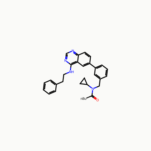 CCCCC(=O)N(Cc1cccc(-c2ccc3ncnc(NCCc4ccccc4)c3c2)c1)C1CC1